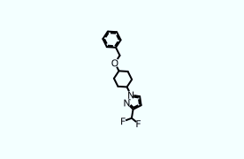 FC(F)c1ccn(C2CCC(OCc3ccccc3)CC2)n1